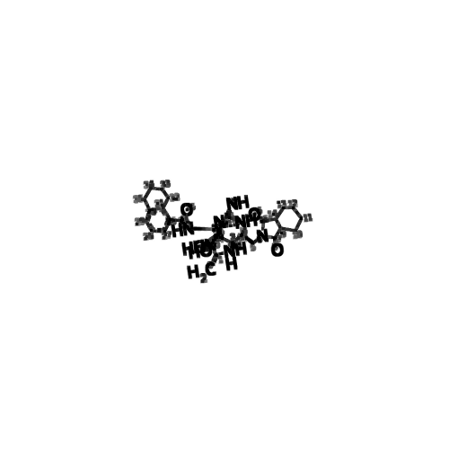 C=C1N[C@H]2[C@H](CN3C(=O)C4CCCCC4C3=O)NC(=N)N3C[C@H](NC(=O)c4cccc5c4CCCC5)C(O)(O)[C@]23N1